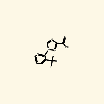 O=C(O)c1ncn(-c2ncccc2C(F)(F)F)n1